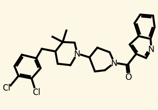 CC1(C)CN(C2CCN(C(=O)c3cnc4ccccc4c3)CC2)CCC1Cc1ccc(Cl)c(Cl)c1